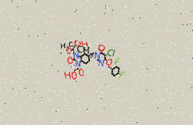 CC(C)(O)C(=O)n1c(=O)n(C(=O)CO)c2ccc(Cn3cnc(OCc4ccc(F)cc4F)c(Cl)c3=O)cc21